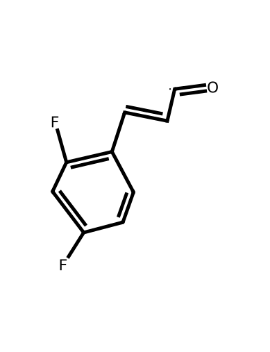 O=[C]C=Cc1ccc(F)cc1F